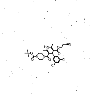 CC1=C(C(=O)OCCC#N)C(c2cc(Cl)cc(Cl)c2)C(C(=O)N2CCN(C(=O)OC(C)(C)C)CC2)=C(C)N1